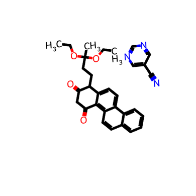 CCOC(C)(CCC1C(=O)CC(=O)c2c1ccc1c2ccc2ccccc21)OCC.N#Cc1cncnc1